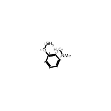 CNC.[SiH3]Oc1ccccc1